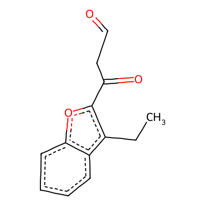 CCc1c(C(=O)CC=O)oc2ccccc12